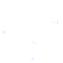 Cc1cccc(C)c1-n1c[c]nc1